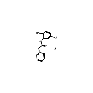 O=C(C[n+]1ccccc1)Nc1cc(Cl)ccc1O.[Cl-]